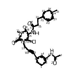 CC(=O)Nc1cccc(C#CCn2c(Cl)c(NC(=O)CCc3ccc(C)cc3)c(=O)n(C)c2=O)c1